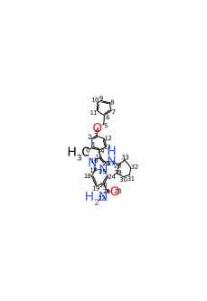 Cc1cc(OCc2ccccc2)ccc1-c1nc2ccc(C(N)=O)cn2c1NC1CCCCC1